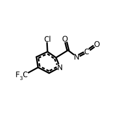 O=C=NC(=O)c1ncc(C(F)(F)F)cc1Cl